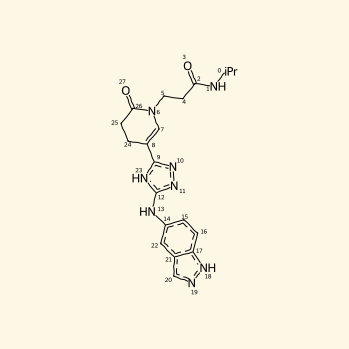 CC(C)NC(=O)CCN1C=C(c2nnc(Nc3ccc4[nH]ncc4c3)[nH]2)CCC1=O